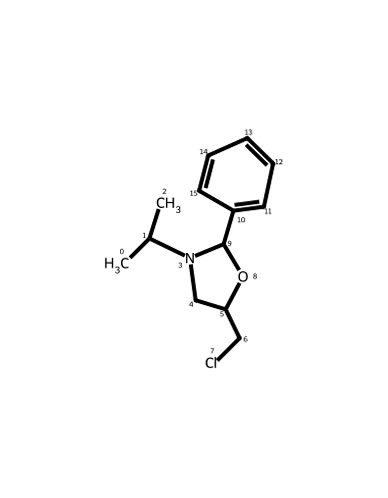 CC(C)N1CC(CCl)OC1c1ccccc1